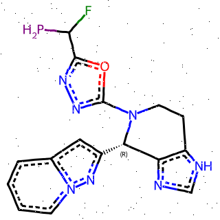 FC(P)c1nnc(N2CCc3[nH]cnc3[C@@H]2c2cc3ccccn3n2)o1